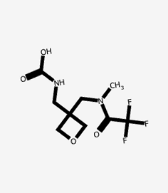 CN(CC1(CNC(=O)O)COC1)C(=O)C(F)(F)F